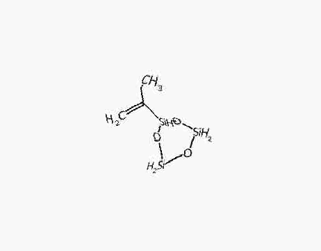 C=C(C)[SiH]1O[SiH2]O[SiH2]O1